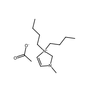 CC(=O)[O-].CCCC[N+]1(CCCC)C=CN(C)C1